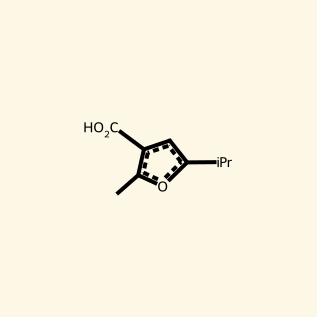 Cc1oc(C(C)C)cc1C(=O)O